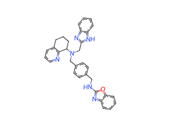 c1cnc2c(c1)CCCC2N(Cc1ccc(CNc2nc3ccccc3o2)cc1)Cc1nc2ccccc2[nH]1